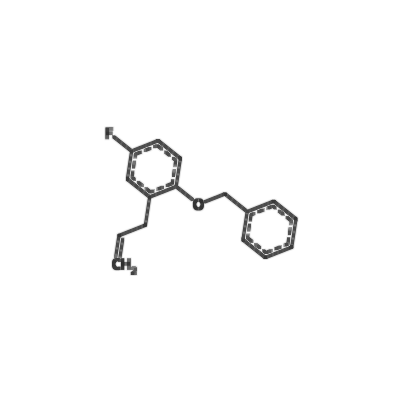 C=CCc1cc(F)ccc1OCc1ccccc1